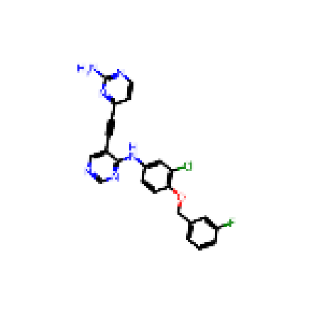 Nc1nccc(C#Cc2cncnc2Nc2ccc(OCc3cccc(F)c3)c(Cl)c2)n1